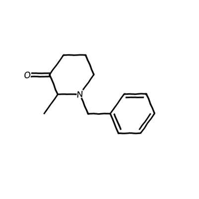 CC1C(=O)CCCN1Cc1ccccc1